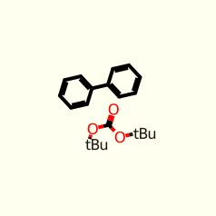 CC(C)(C)OC(=O)OC(C)(C)C.c1ccc(-c2ccccc2)cc1